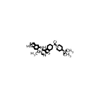 COc1cc2[nH]ncc2cc1Nc1ncnc2sc3c(c12)CC[C@H](C(=O)N1CCC(N(C)C)CC1)C3